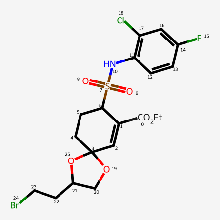 CCOC(=O)C1=CC2(CCC1S(=O)(=O)Nc1ccc(F)cc1Cl)OCC(CCBr)O2